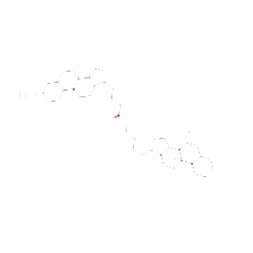 C[C@H](CCCOC(=O)CC[C@@H](C)[C@H]1CCC2[C@@H]3[C@@H](O)CC4C[C@H](O)CC[C@]4(C)[C@H]3CC[C@@]21C)[C@H]1CCC2[C@@H]3[C@@H](O)CC4C[C@H](O)CC[C@]4(C)[C@H]3CC[C@@]21C